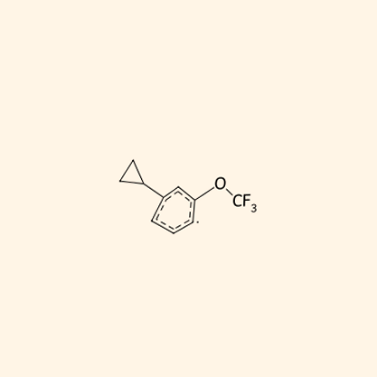 FC(F)(F)Oc1[c]ccc(C2CC2)c1